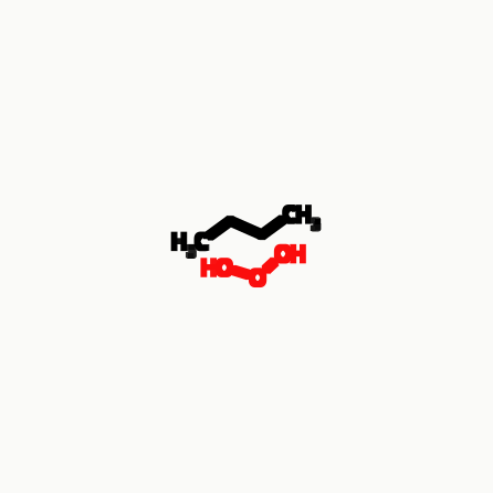 CCCC.OOO